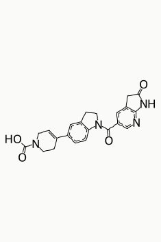 O=C1Cc2cc(C(=O)N3CCc4cc(C5=CCN(C(=O)O)CC5)ccc43)cnc2N1